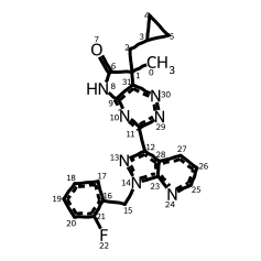 CC1(CC2CC2)C(=O)Nc2nc(-c3nn(Cc4ccccc4F)c4ncccc34)nnc21